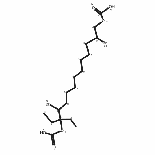 CCC(CC)(OC(=O)O)C(Br)CCCCCCCCC(Br)COC(=O)O